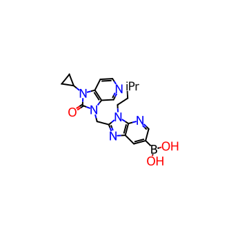 CC(C)CCn1c(Cn2c(=O)n(C3CC3)c3ccncc32)nc2cc(B(O)O)cnc21